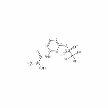 CN(O)C(=O)Nc1cccc(OS(=O)(=O)C(F)(F)F)c1